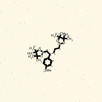 CSc1ccc([C@@H](CCCB2OC(C)(C)C(C)(C)O2)CB2OC(C)(C)C(C)(C)O2)cc1